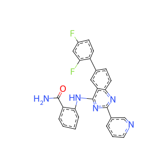 NC(=O)c1ccccc1Nc1nc(-c2cccnc2)nc2ccc(-c3ccc(F)cc3F)cc12